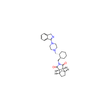 O=C1[C@@H]2[C@@H]3CC[C@@H](C3)[C@@H]2C(=O)N1C[C@@H]1CCCC[C@H]1CN1CCN(C2=NCc3ccccc32)CC1